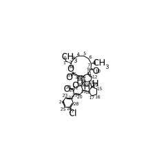 CC[C@H]1CCCC[C@@H](C)C(=O)C2=CC3[C@@H]4CCCC4C4C=C(c5cccc(Cl)c5)C(=O)OC4[C@H]3[C@@H]2CC(=O)O1